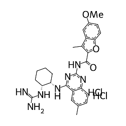 COc1ccc2oc(C(=O)Nc3nc(N[C@H]4CCCC[C@H]4NC(=N)N)c4cc(C)ccc4n3)c(C)c2c1.Cl.Cl